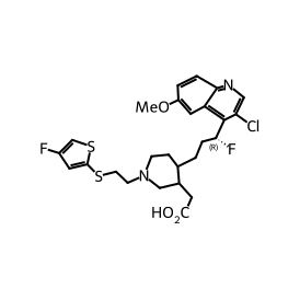 COc1ccc2ncc(Cl)c([C@H](F)CCC3CCN(CCSc4cc(F)cs4)CC3CC(=O)O)c2c1